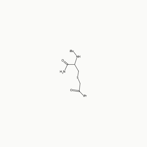 CCC(C)NC(CSCC(=O)C(C)C)C(N)=O